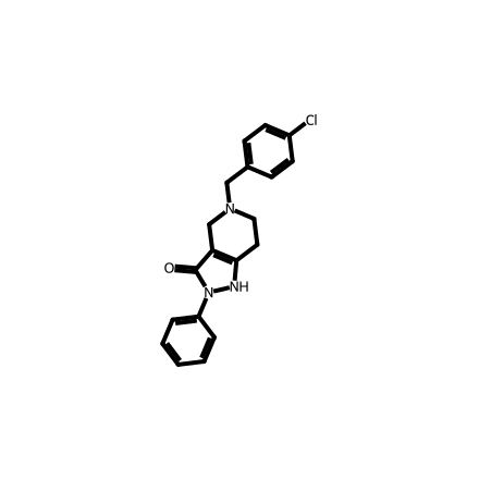 O=c1c2c([nH]n1-c1ccccc1)CCN(Cc1ccc(Cl)cc1)C2